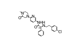 CN1CCN(c2ccc(NC(=O)[C@@H](NCCc3ccc(Cl)cc3)c3ccccc3)cn2)CC1=O